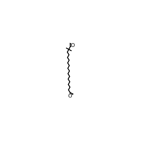 CC(C)(CCCCCCCCCCCCCCCC1CO1)C1CO1